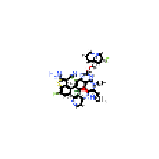 CCC(C(=O)Nc1ccncc1)N(C)c1nc(OC[C@@]23CCCN2C[C@H](F)C3)nc2c(F)c(-c3ccc(F)c4sc(N)c(C#N)c34)c(Cl)cc12